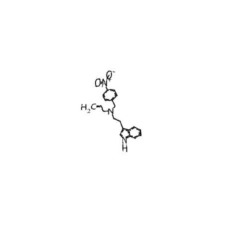 C=CCN(CCc1c[nH]c2ccccc12)Cc1ccc([N+](=O)[O-])cc1